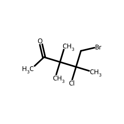 CC(=O)C(C)(C)C(C)(Cl)CBr